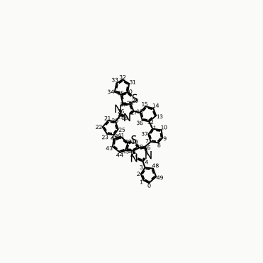 c1ccc(-c2nc(-c3cccc(-c4cccc(-c5nc(-c6ccccc6)nc6c5sc5ccccc56)c4)c3)c3sc4ccccc4c3n2)cc1